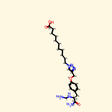 NCN[C@@H](Cc1ccc(OCc2cn(CCCCCCCCCCC(=O)O)nn2)cc1)C(N)=O